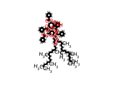 CC(C)CCCC(C)CCCC(C)CCCC(C)CCOCC(CO[C@@H]1OC(COC(=O)c2ccccc2)[C@@H](O[C@@H]2OC(CO)[C@H](O)C(OC(=O)c3ccccc3)CC2OC(=O)c2ccccc2)C(OC(=O)c2ccccc2)C1OC(=O)c1ccccc1)OCCC(C)CCCC(C)CCCC(C)CCCC(C)C